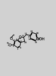 COc1ccc2c(c1OC)OC(Cc1ccc(O)cc1)C2